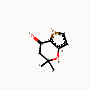 CC1(C)CC(=O)c2sccc2O1